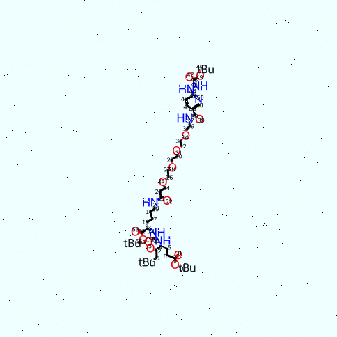 CC(C)(C)CC(=O)[C@H](CCC(=O)OC(C)(C)C)NC(=O)N[C@@H](CCCCNC(=O)CCOCCOCCOCCOCCNC(=O)c1ccc(NNC(=O)OC(C)(C)C)nc1)C(=O)OC(C)(C)C